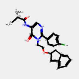 CN[C@@H](C)C(=O)Nc1cnc(-c2ccc(F)cc2)n(CCOC2Cc3ccccc3C2)c1=O